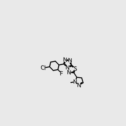 CN1N=CCC1c1nn2c(C3CCC(Cl)CC3F)nnc2s1